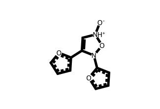 [O-][NH+]1C=C(c2ccco2)N(c2ccco2)O1